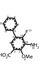 COc1c(C(=O)O)cc(-c2ccccc2)c(F)c1N